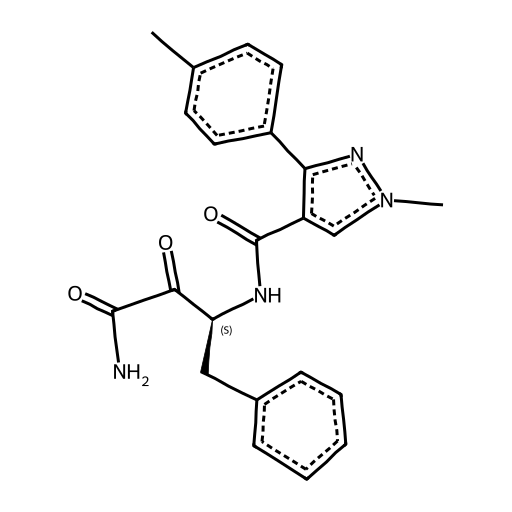 Cc1ccc(-c2nn(C)cc2C(=O)N[C@@H](Cc2ccccc2)C(=O)C(N)=O)cc1